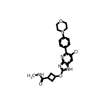 CNC(=O)C1CC(Oc2nc3nc(-c4ccc(N5CCOCC5)cc4)c(Cl)cc3[nH]2)C1